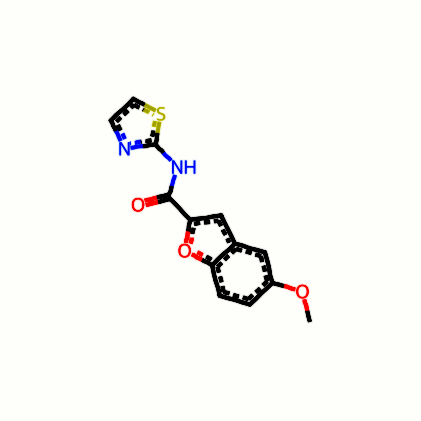 COc1ccc2oc(C(=O)Nc3nccs3)cc2c1